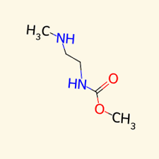 CNCCNC(=O)OC